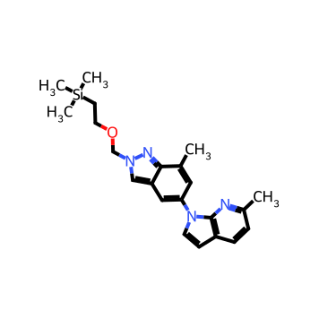 Cc1ccc2ccn(-c3cc(C)c4nn(COCC[Si](C)(C)C)cc4c3)c2n1